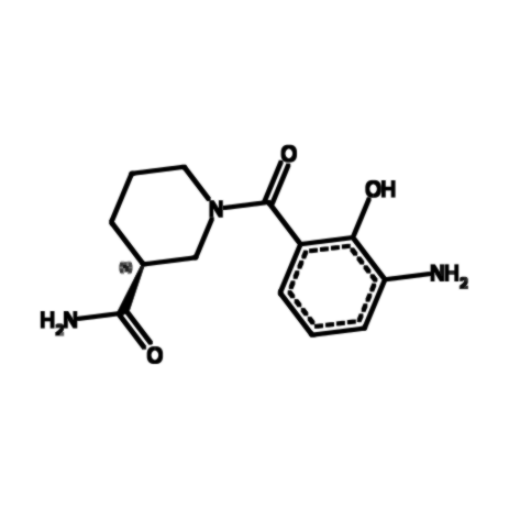 NC(=O)[C@H]1CCCN(C(=O)c2cccc(N)c2O)C1